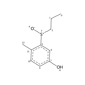 CCC[S+]([O-])c1cc(O)ccc1C